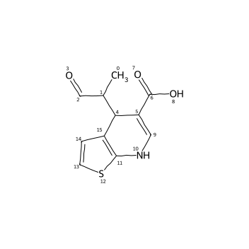 CC(C=O)C1C(C(=O)O)=CNc2sccc21